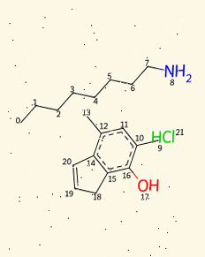 CCCCCCCCN.Cc1cc(C)c2c(c1O)CC=C2.Cl